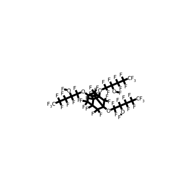 FOC(F)(C(F)(F)OC12C(F)(F)C3(F)C(F)(F)C(OC(F)(F)C(F)(OF)C(F)(F)C(F)(F)C(F)(F)F)(C1(F)F)C(F)(F)C(OC(F)(F)C(F)(OF)C(F)(F)C(F)(F)C(F)(F)F)(C3(F)F)C2(F)F)C(F)(F)C(F)(F)C(F)(F)F